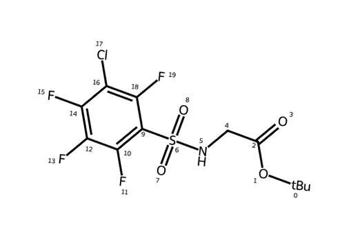 CC(C)(C)OC(=O)CNS(=O)(=O)c1c(F)c(F)c(F)c(Cl)c1F